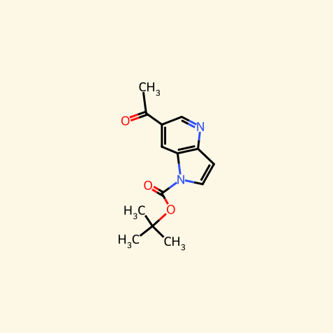 CC(=O)c1cnc2ccn(C(=O)OC(C)(C)C)c2c1